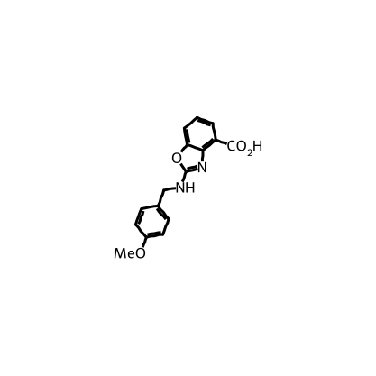 COc1ccc(CNc2nc3c(C(=O)O)cccc3o2)cc1